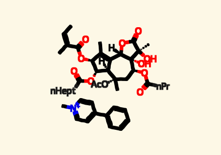 C/C=C(/C)C(=O)O[C@H]1C(C)=C2[C@H]([C@@H]1OC(=O)CCCCCCC)[C@@](C)(OC(C)=O)C[C@H](OC(=O)CCC)[C@@]1(O)[C@H]2OC(=O)[C@@]1(C)O.C[n+]1ccc(-c2ccccc2)cc1